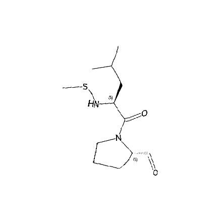 CSN[C@@H](CC(C)C)C(=O)N1CCC[C@H]1C=O